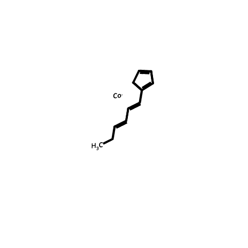 CCC=CC=CC1=CC=CC1.[Co]